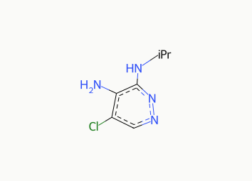 CC(C)Nc1nncc(Cl)c1N